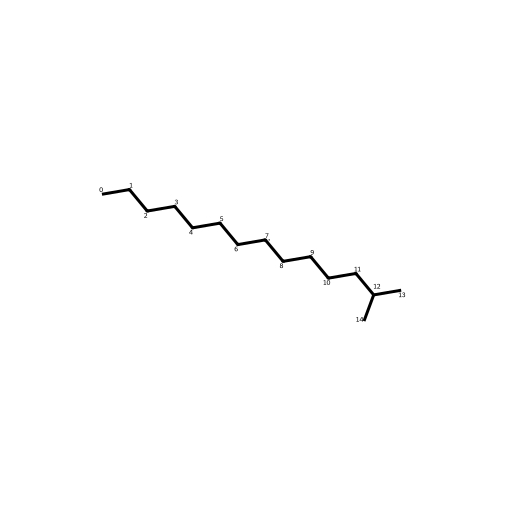 CCCCCCC[CH]CCCCC(C)C